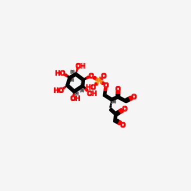 O=CC(=O)C[C@H](COP(=O)(O)O[C@H]1[C@@H](O)[C@H](O)[C@H](O)[C@@H](O)[C@@H]1O)C(=O)C=O